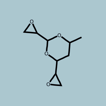 CC1CC(C2CO2)OC(C2CO2)O1